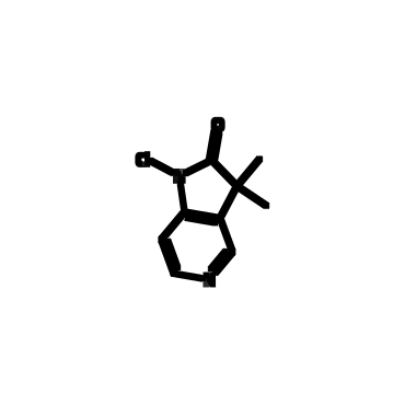 CC1(C)C(=O)N(Cl)c2ccncc21